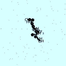 O=C(NS(=O)(=O)c1ccc(N[C@@H](CSc2ccccc2)C[C@@H]2CCCN2CCNCCO)c(S(=O)(=O)C(F)(F)F)c1)c1ccc(N2CCC([C@@H](O)c3ccccc3-c3ccc(Cl)cc3)CC2)cc1